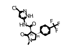 CN1C[C@@H](c2ccc(C(F)(F)F)cc2)[C@H](C(=O)Nc2cc(Cl)n[nH]2)C1=O